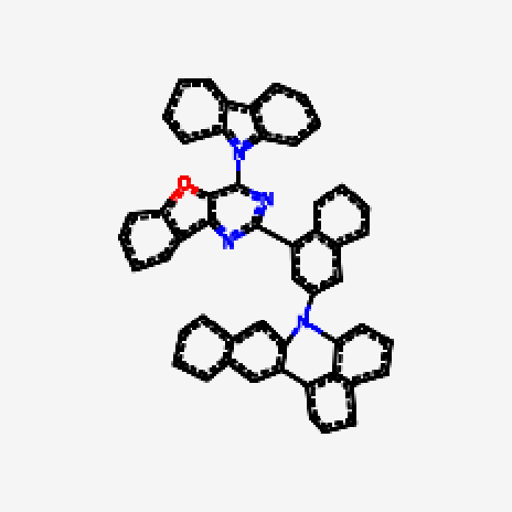 c1ccc2cc3c(cc2c1)-c1cccc2cccc(c12)N3c1cc(-c2nc(-n3c4ccccc4c4ccccc43)c3oc4ccccc4c3n2)c2ccccc2c1